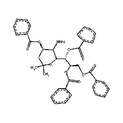 CC(=O)NC1C([C@H](OC(=O)c2ccccc2)[C@@H](COC(=O)c2ccccc2)OC(=O)c2ccccc2)OC(C)(C)C[C@H]1OC(=O)c1ccccc1